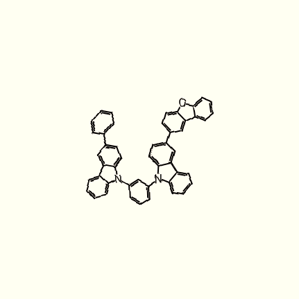 c1ccc(-c2ccc3c(c2)c2ccccc2n3-c2cccc(-n3c4ccccc4c4cc(-c5ccc6oc7ccccc7c6c5)ccc43)c2)cc1